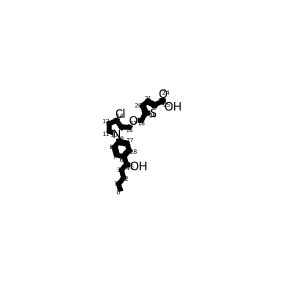 CCCCC(O)c1ccc(N2CCC(Cl)C2COCc2ccc(C(=O)O)s2)cc1